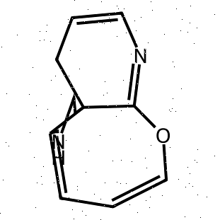 C1=COC2=NC=CCC23CCNCC3=C1